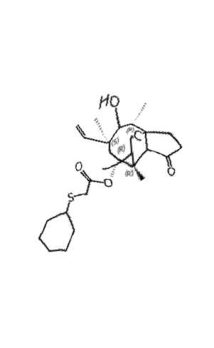 C=C[C@]1(C)C[C@@H](OC(=O)CSC2CCCCC2)[C@]2(C)C(C)CCC3(CCC(=O)C32)[C@@H](C)C1O